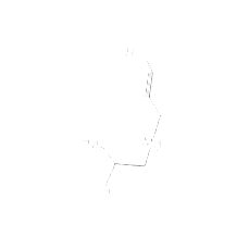 CC=C[CH2][Mg][CH2]C(C)C